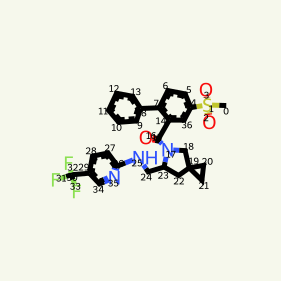 CS(=O)(=O)c1ccc(-c2ccccc2)c(C(=O)N2CC3(CC3)CC2CNc2ccc(C(F)(F)F)cn2)c1